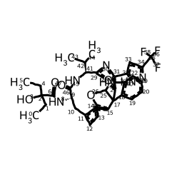 CCC(O)(CC)C(=O)N[C@H]1Cc2ccc3c(c2)C2(c4ccccc4NC2O3)c2oc(nc2-c2cc(C(F)(F)F)n[nH]2)[C@H](C(C)C)NC1=O